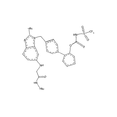 CCCCNC(=O)CNc1ccc2nc(CCCC)n(Cc3ccc(-c4ccccc4OC(=O)NS(=O)(=O)C(F)(F)F)cc3)c2c1